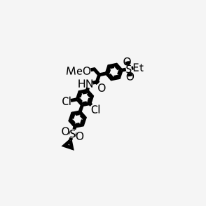 CCS(=O)(=O)c1ccc(C(COC)C(=O)Nc2cc(Cl)c(-c3ccc(S(=O)(=O)C4CC4)cc3)c(Cl)c2)cc1